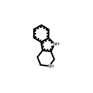 [C]1Cc2c([nH]c3ccccc23)CN1